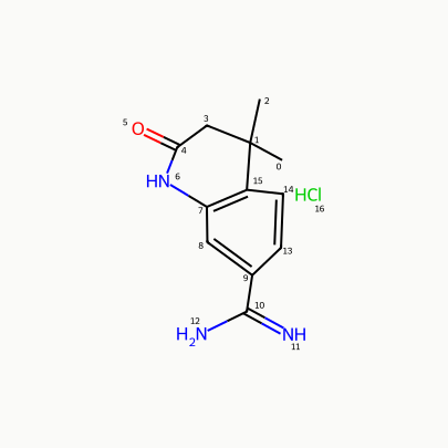 CC1(C)CC(=O)Nc2cc(C(=N)N)ccc21.Cl